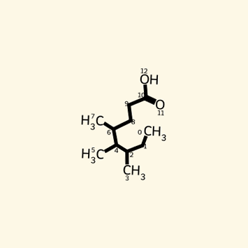 CCC(C)C(C)C(C)CCC(=O)O